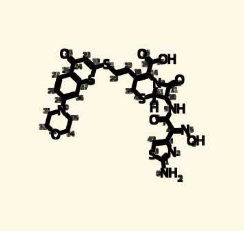 Nc1nc(C(=NO)C(=O)NC2C(=O)N3C(C(=O)O)=C(C=CSc4cc(=O)c5ccc(N6CCOCC6)cc5s4)CS[C@@H]23)cs1